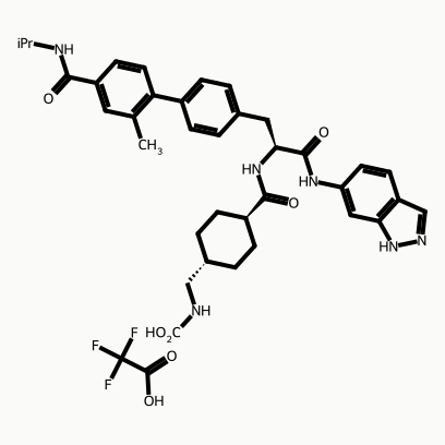 Cc1cc(C(=O)NC(C)C)ccc1-c1ccc(C[C@H](NC(=O)[C@H]2CC[C@H](CNC(=O)O)CC2)C(=O)Nc2ccc3cn[nH]c3c2)cc1.O=C(O)C(F)(F)F